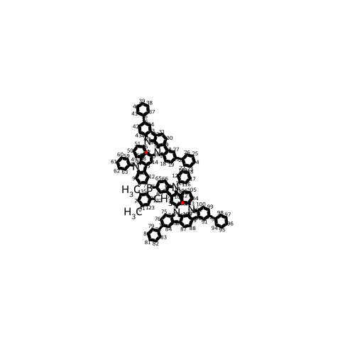 Cc1cc(C)c(B(c2ccc3c(c2)c2cc(-n4c5ccc(-c6ccccc6)cc5c5ccc6c7cc(-c8ccccc8)ccc7n(-c7ccccc7)c6c54)ccc2n3-c2ccccc2)c2ccc3c(c2)c2cc(-n4c5ccc(-c6ccccc6)cc5c5ccc6c7cc(-c8ccccc8)ccc7n(-c7ccccc7)c6c54)ccc2n3-c2ccccc2)c(C)c1